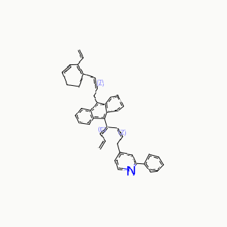 C=C/C=C(\C=C/Cc1ccnc(-c2ccccc2)c1)c1c2ccccc2c(C/C=C\C2=C(C=C)C=CCC2)c2ccccc12